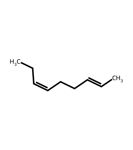 CC=CCC/C=C\CC